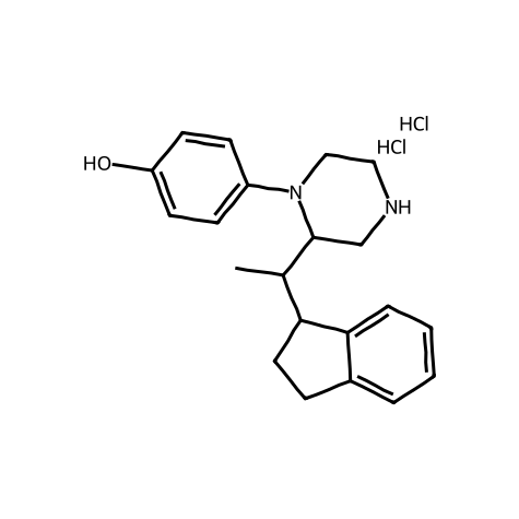 CC(C1CCc2ccccc21)C1CNCCN1c1ccc(O)cc1.Cl.Cl